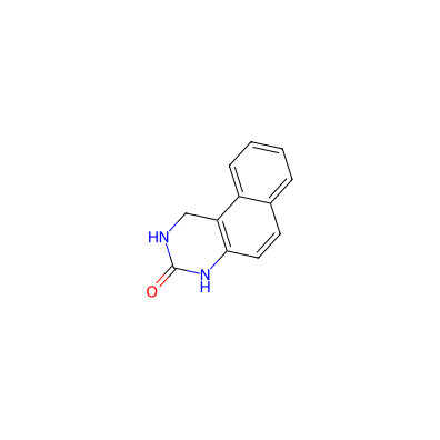 O=C1NCc2c(ccc3ccccc23)N1